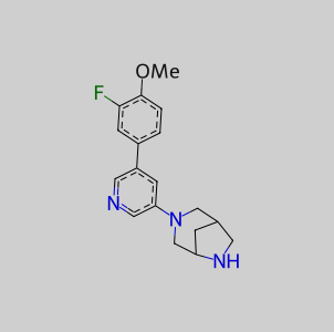 COc1ccc(-c2cncc(N3CC4CNC(C4)C3)c2)cc1F